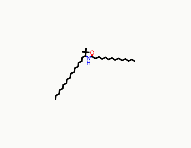 CCCCCCCCCCCCCCCCC(NC(=O)CCCCCCCCCCCCC)C(C)(C)C